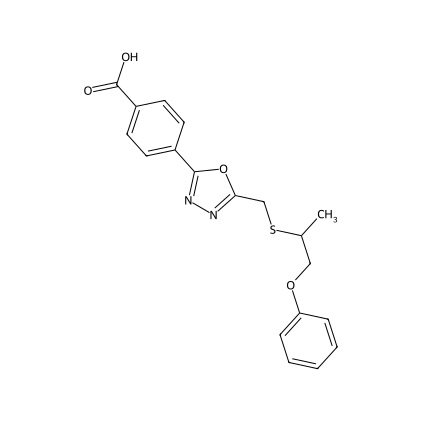 CC(COc1ccccc1)SCc1nnc(-c2ccc(C(=O)O)cc2)o1